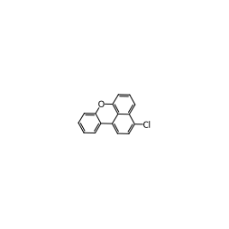 Clc1ccc2c3c(cccc13)Oc1ccccc1-2